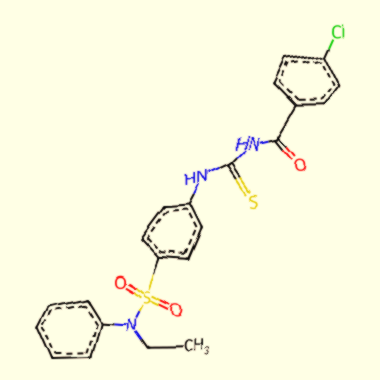 CCN(c1ccccc1)S(=O)(=O)c1ccc(NC(=S)NC(=O)c2ccc(Cl)cc2)cc1